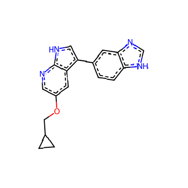 c1nc2cc(-c3c[nH]c4ncc(OCC5CC5)cc34)ccc2[nH]1